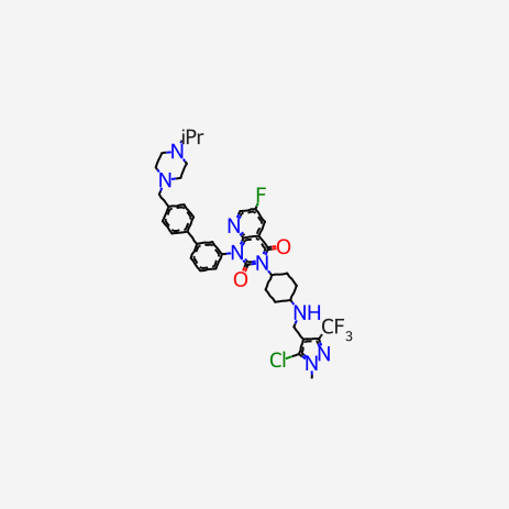 CC(C)N1CCN(Cc2ccc(-c3cccc(-n4c(=O)n(C5CCC(NCc6c(C(F)(F)F)nn(C)c6Cl)CC5)c(=O)c5cc(F)cnc54)c3)cc2)CC1